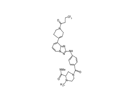 CNC(=O)C1CN(C(=O)c2ccc(Nc3nc4c(C5=CCN(C(=O)CCC(F)(F)F)CC5)cccn4n3)cc2)CCN1C